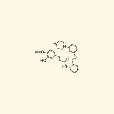 COc1ccc(/C=C/C(=O)Nc2ccccc2COc2cccc(N3CCN(C)CC3)c2)cc1O